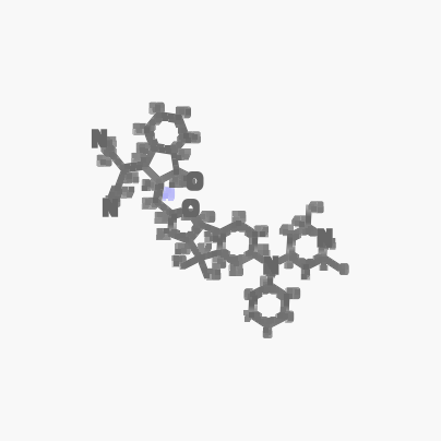 Cc1cc(N(c2ccccc2)c2ccc3c(c2)C(C)(C)c2cc(/C=C4\C(=O)c5ccccc5C4=C(C#N)C#N)oc2-3)cc(C)n1